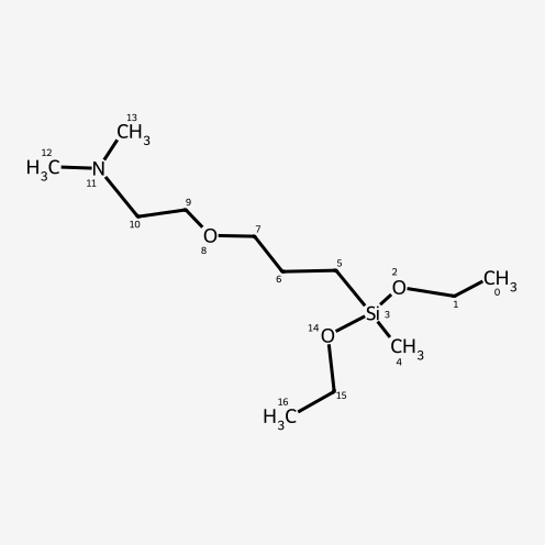 CCO[Si](C)(CCCOCCN(C)C)OCC